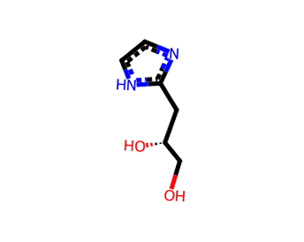 OC[C@H](O)Cc1ncc[nH]1